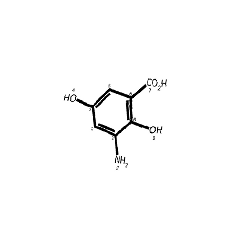 Nc1cc(O)cc(C(=O)O)c1O